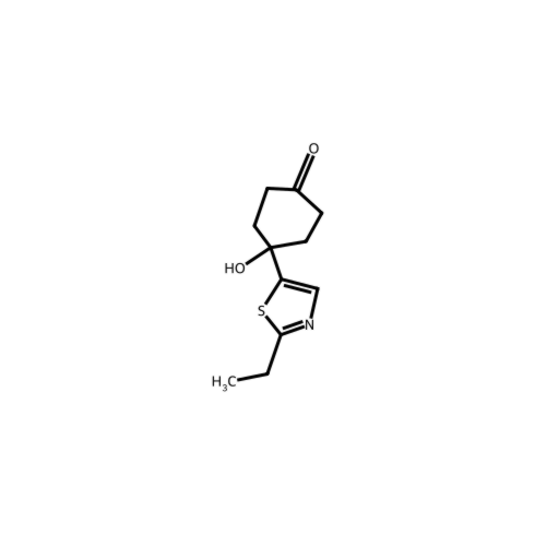 CCc1ncc(C2(O)CCC(=O)CC2)s1